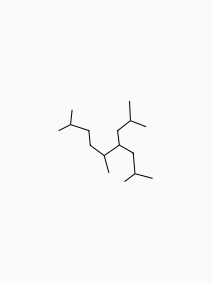 CC(C)CCC(C)C(CC(C)C)CC(C)C